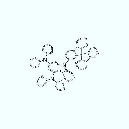 c1ccc(N(c2ccccc2)c2cc(N(c3ccccc3)c3ccccc3)c3c4ccccc4n(-c4ccc5c(c4)C4(c6ccccc6-c6ccccc64)c4ccccc4-5)c3c2)cc1